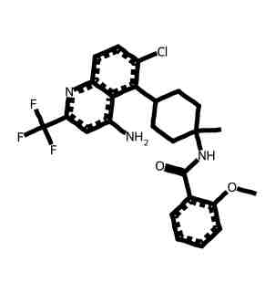 COc1ccccc1C(=O)NC1(C)CCC(c2c(Cl)ccc3nc(C(F)(F)F)cc(N)c23)CC1